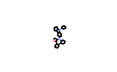 c1ccc(-n2c3ccccc3c3cc(N4C5=C(OCC5)c5ccccc5-c5ccccc54)ccc32)cc1